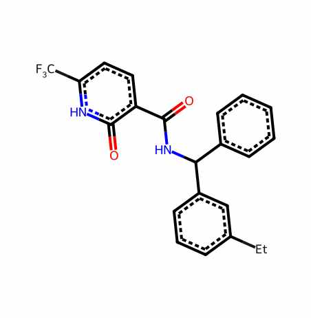 CCc1cccc(C(NC(=O)c2ccc(C(F)(F)F)[nH]c2=O)c2ccccc2)c1